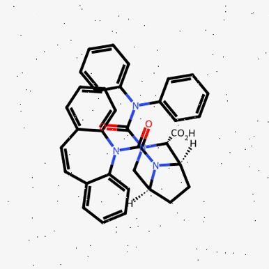 O=C(O)[C@@H]1[C@H]2CC[C@@H](CN1C(=O)N(c1ccccc1)c1ccccc1)N2C(=O)N1c2ccccc2C=Cc2ccccc21